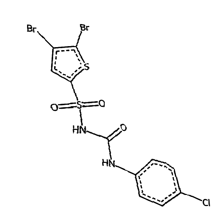 O=C(Nc1ccc(Cl)cc1)NS(=O)(=O)c1cc(Br)c(Br)s1